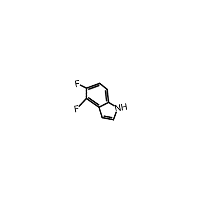 Fc1ccc2[nH]ccc2c1F